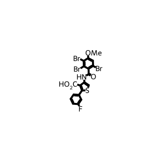 COc1cc(Br)c(C(=O)Nc2csc(-c3cccc(F)c3)c2C(=O)O)c(Br)c1Br